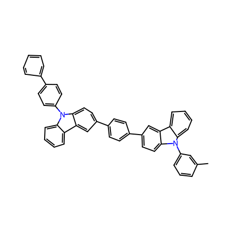 Cc1cccc(-n2c3ccccc3c3cc(-c4ccc(-c5ccc6c(c5)c5ccccc5n6-c5ccc(-c6ccccc6)cc5)cc4)ccc32)c1